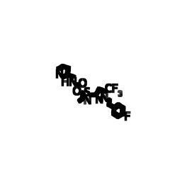 Cc1nc(-c2cc(C(F)(F)F)n(CCc3ccc(F)cc3)n2)sc1OC(=O)NCc1cccnc1